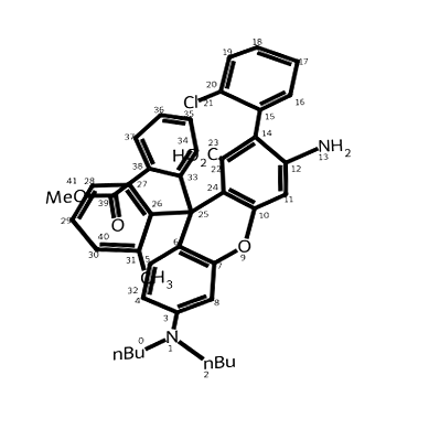 CCCCN(CCCC)c1ccc2c(c1)Oc1cc(N)c(-c3ccccc3Cl)c(C(=O)O)c1C2(c1ccccc1C)c1ccccc1C(=O)OC